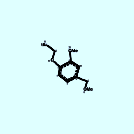 COCc1ccc(OCC(C)(C)C)c(OC)c1